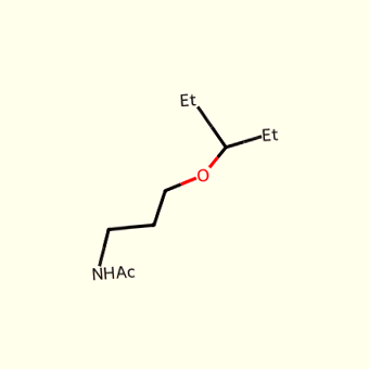 CCC(CC)OCCCNC(C)=O